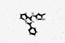 Cc1cc(Nc2nc(-c3ccccc3)nn3cccc23)n[nH]1